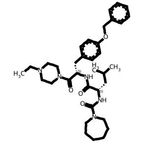 CCN1CCN(C(=O)[C@H](Cc2ccc(OCc3ccccc3)cc2)NC(=O)[C@H](CC(C)C)NC(=O)N2CCCCCC2)CC1